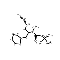 CN(C(=O)OC(C)(C)C)C(CN=[N+]=[N-])CC1CCCCC1